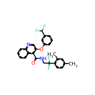 Cc1ccc(C(F)(F)CNC(=O)c2c(Oc3cccc(C(F)F)c3)cnc3ccccc23)c(C)c1